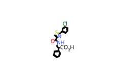 O=C(NCC(C(=O)O)c1ccccc1)c1csc(-c2cccc(Cl)c2)n1